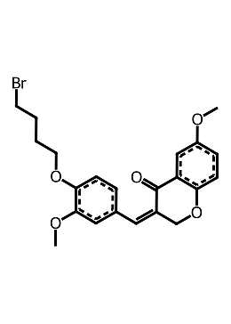 COc1ccc2c(c1)C(=O)C(=Cc1ccc(OCCCCBr)c(OC)c1)CO2